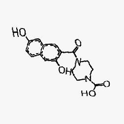 O=C(O)N1CCN(C(=O)c2cc3cc(O)ccc3cc2O)CC1